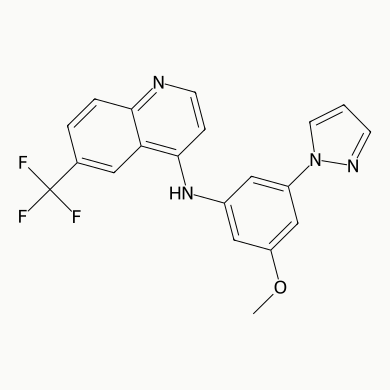 COc1cc(Nc2ccnc3ccc(C(F)(F)F)cc23)cc(-n2cccn2)c1